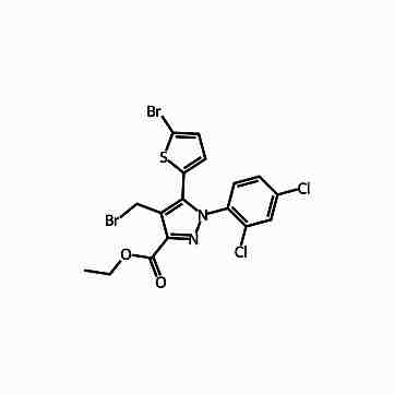 CCOC(=O)c1nn(-c2ccc(Cl)cc2Cl)c(-c2ccc(Br)s2)c1CBr